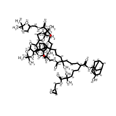 CCC(C)(CCCC(C)(CCCC(C)(CCCC(CCCC(C)(C)C(=O)OCC1CO1)C(=O)OC12CC3CC(CC(O)(C3)C1)C2)C(=O)OCC(=O)OC1C2CC3C(=O)OC1C3C2)C(=O)OC1C(C2COC(C)(C)O2)OC2OC(C)(C)OC21)C(=O)OCC1COC(C)(C)O1